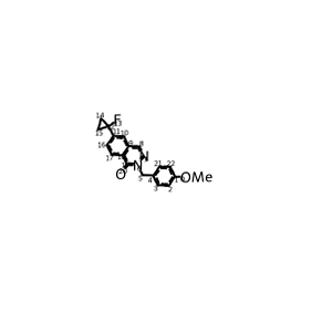 COc1ccc(Cn2ncc3cc(C4(F)CC4)ccc3c2=O)cc1